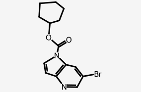 O=C(OC1CCCCC1)n1ccc2ncc(Br)cc21